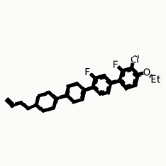 C=CCCC1CCC(C2CC=C(c3ccc(-c4ccc(OCC)c(Cl)c4F)cc3F)CC2)CC1